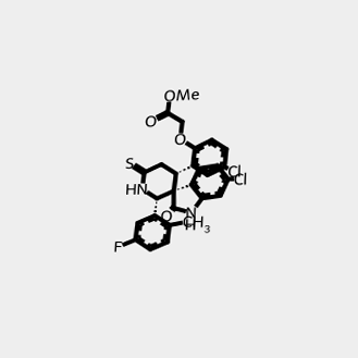 COC(=O)COc1ccc(Cl)cc1[C@H]1CC(=S)N[C@@H](c2cc(F)ccc2C)[C@]12C(=O)Nc1cc(Cl)ccc12